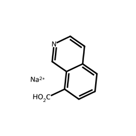 O=C(O)c1cccc2ccncc12.[Na+2]